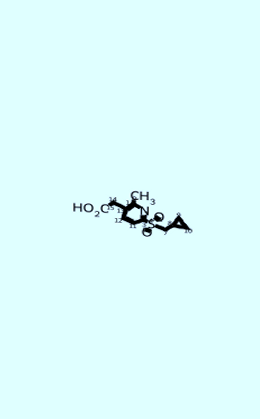 Cc1nc(S(=O)(=O)CC2CC2)ccc1CC(=O)O